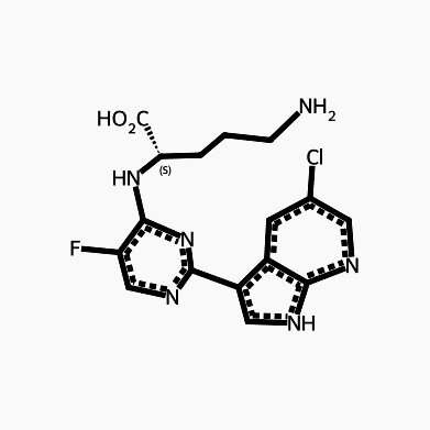 NCCC[C@H](Nc1nc(-c2c[nH]c3ncc(Cl)cc23)ncc1F)C(=O)O